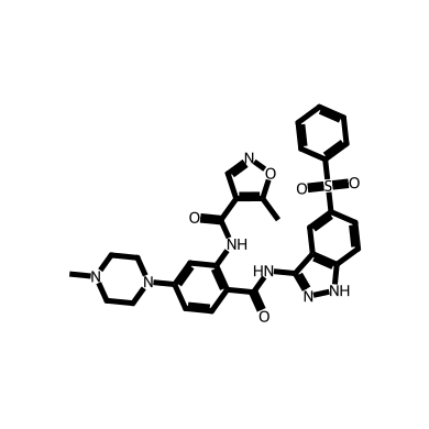 Cc1oncc1C(=O)Nc1cc(N2CCN(C)CC2)ccc1C(=O)Nc1n[nH]c2ccc(S(=O)(=O)c3ccccc3)cc12